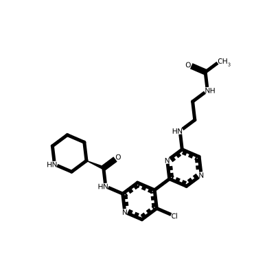 CC(=O)NCCNc1cncc(-c2cc(NC(=O)[C@@H]3CCCNC3)ncc2Cl)n1